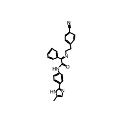 Cc1cnc(-c2ccc(NC(=O)/C(=N/CCc3ccc(C#N)cc3)c3ccccc3)cc2)[nH]1